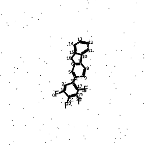 Fc1cc(-c2[c]c3c(cc2)-c2ccccc2C3)c(F)c(F)c1F